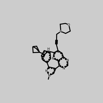 Cn1cc(-c2ncnc3cc(C#CCN4CCOCC4)c(NC(=O)C45CC(C4)C5)nc23)c(-c2ccccc2)n1